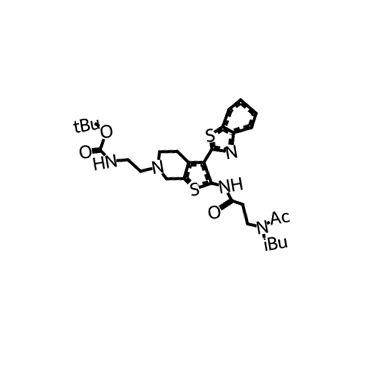 CCC(C)N(CCC(=O)Nc1sc2c(c1-c1nc3ccccc3s1)CCN(CCNC(=O)OC(C)(C)C)C2)C(C)=O